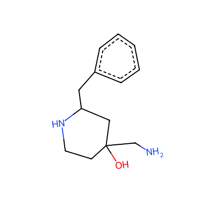 NCC1(O)CCNC(Cc2ccccc2)C1